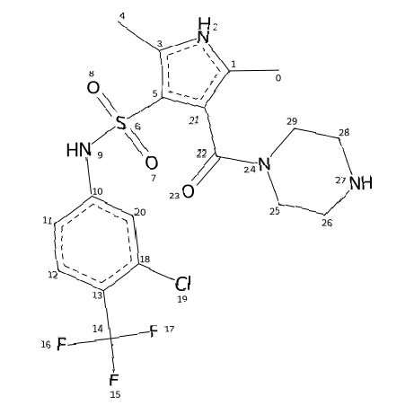 Cc1[nH]c(C)c(S(=O)(=O)Nc2ccc(C(F)(F)F)c(Cl)c2)c1C(=O)N1CCNCC1